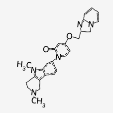 CN1CCc2c(c3ccc(-n4ccc(OCC5CN6C=CC=CC6=N5)cc4=O)cc3n2C)C1